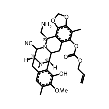 C=CCOC(=O)Oc1c(C)c2c(c3c1CC1[C@@H]4c5c(cc(C)c(OC)c5O)C[C@H](C(C#N)N1[C@H]3CN)N4C)OCO2